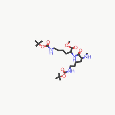 CNC(CCCCNC(=O)OC(C)(C)C)C(=O)NC(CCCCNC(=O)OC(C)(C)C)C(=O)OC